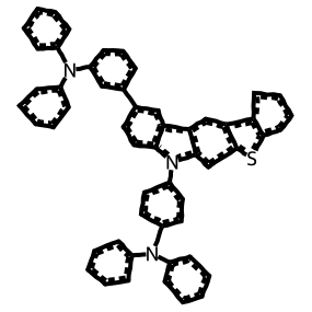 c1ccc(N(c2ccccc2)c2ccc(-n3c4ccc(-c5cccc(N(c6ccccc6)c6ccccc6)c5)cc4c4cc5c(cc43)sc3ccccc35)cc2)cc1